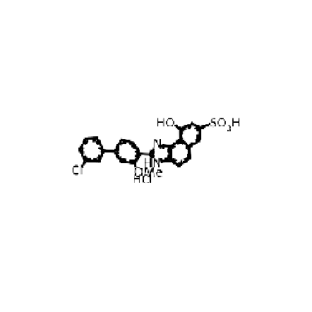 COc1cc(-c2cccc(Cl)c2)ccc1-c1nc2c(ccc3cc(S(=O)(=O)O)cc(O)c32)[nH]1.Cl